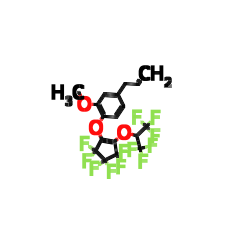 C=CCc1ccc(OC2=C(OC(C(F)(F)F)C(F)(F)F)C(F)(F)C(F)(F)C2(F)F)c(OC)c1